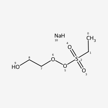 CCS(=O)(=O)OOCCO.[NaH]